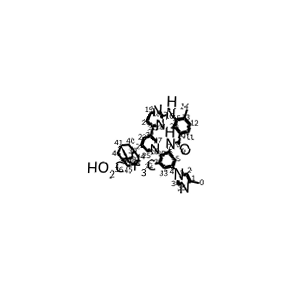 Cc1cn(-c2cc(NC(=O)c3ccc(C)c(Nc4nccc(-c5cccnc5)n4)c3)cc(C(F)(F)F)c2)cn1.O=C(O)C12CC3CC(CC(C3)C1)C2